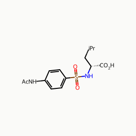 CC(=O)Nc1ccc(S(=O)(=O)N[C@H](CC(C)C)C(=O)O)cc1